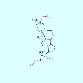 CC(C)CCC[C@@H](C)[C@H]1CCC2C3CCC4C[C@@](C)(ON)CC[C@]4(C)C3CC[C@@]21C